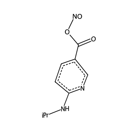 CC(C)Nc1ccc(C(=O)ON=O)cn1